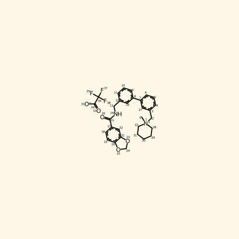 C[N+]1(Cc2cccc(-c3cccc(CNC(=O)c4ccc5c(c4)OCO5)c3)c2)CCCCC1.O=C([O-])C(F)(F)F